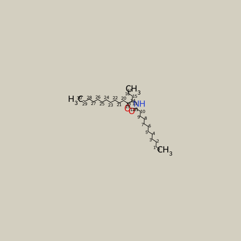 CCCCCCCCCCCC(=O)NC(CCC)C(=O)CCCCCCCCCCC